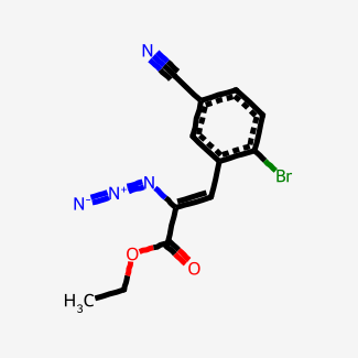 CCOC(=O)C(=Cc1cc(C#N)ccc1Br)N=[N+]=[N-]